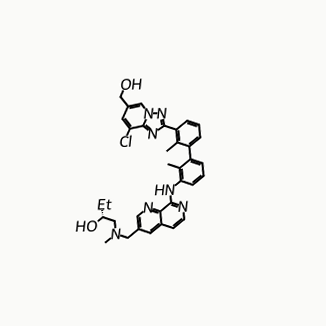 CC[C@@H](O)CN(C)Cc1cnc2c(Nc3cccc(-c4cccc(-c5nc6c(Cl)cc(CO)cn6n5)c4C)c3C)nccc2c1